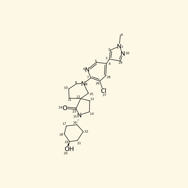 Cn1cc(-c2cnc(N3CCCC4(CCN([C@H]5CC[C@H](O)CC5)C4=O)C3)c(Cl)c2)cn1